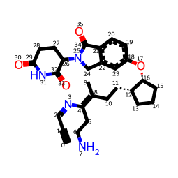 C#C/C=N\C(CCN)=C(/C)CC[C@H]1CCC[C@H]1Oc1ccc2c(c1)CN(C1CCC(=O)NC1=O)C2=O